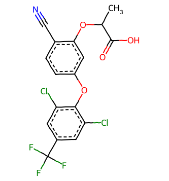 CC(Oc1cc(Oc2c(Cl)cc(C(F)(F)F)cc2Cl)ccc1C#N)C(=O)O